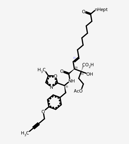 CC#CCOc1ccc(C[C@H](NC(=O)[C@@H](/C=C/CCCCCCC(=O)CCCCCCC)[C@@](O)(CCOC(C)=O)C(=O)O)c2ncc(C)o2)cc1